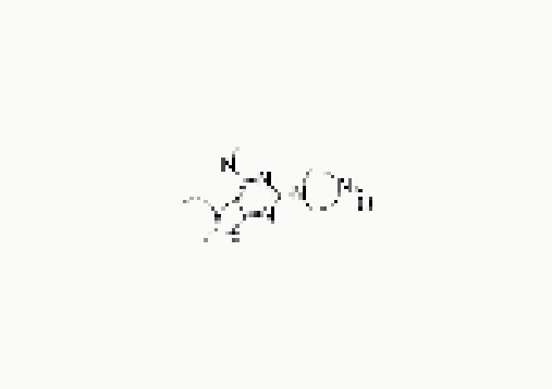 CCc1c(C)sc2nc(N3CCN(C=O)CC3)nc(N(C)C)c12